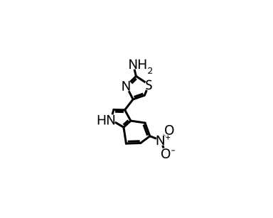 Nc1nc(-c2c[nH]c3ccc([N+](=O)[O-])cc23)cs1